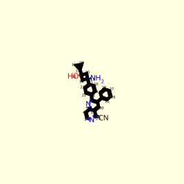 N#Cc1nccc2nc(-c3ccc([C@]4(N)C[C@@](O)(C5CC5)C4)cc3)c(-c3ccccc3)cc12